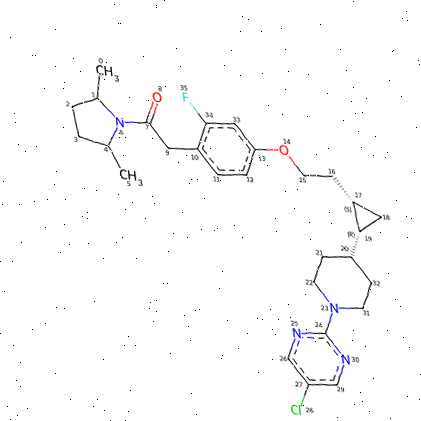 CC1CCC(C)N1C(=O)Cc1ccc(OCC[C@@H]2C[C@@H]2C2CCN(c3ncc(Cl)cn3)CC2)cc1F